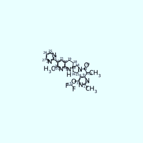 Cc1nc(OC(F)F)cc(C(C)C(=O)N2CC[C@@]3(CCc4cc(-c5ncccn5)c(C)nc4N3)C2)n1